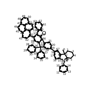 CC12CCCCC1(C)N(c1ccccc1)c1ccc(-c3ccc4c(c3)C(c3ccccc3)(c3ccccc3)c3cc(-c5ccc6ccc7cccc8ccc5c6c78)c5c(oc6ccccc65)c3-4)cc12